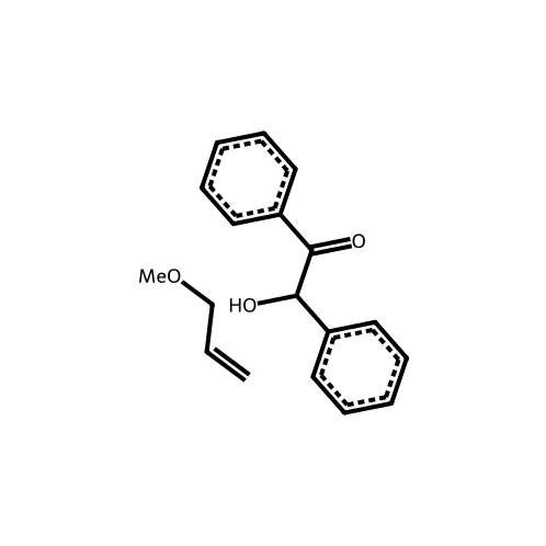 C=CCOC.O=C(c1ccccc1)C(O)c1ccccc1